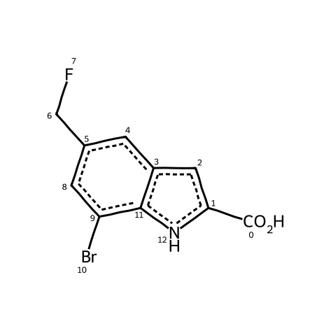 O=C(O)c1cc2cc(CF)cc(Br)c2[nH]1